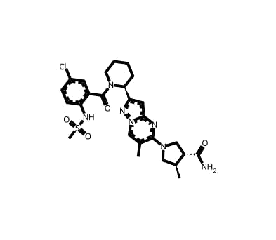 Cc1cn2nc([C@@H]3CCCCN3C(=O)c3cc(Cl)ccc3NS(C)(=O)=O)cc2nc1N1C[C@H](C(N)=O)[C@@H](C)C1